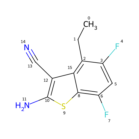 CCc1c(F)cc(F)c2sc(N)c(C#N)c12